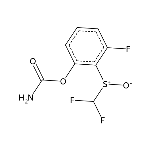 NC(=O)Oc1cccc(F)c1[S+]([O-])C(F)F